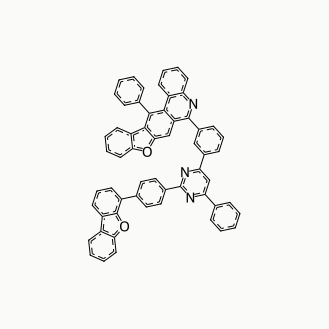 c1ccc(-c2cc(-c3cccc(-c4nc5ccccc5c5c(-c6ccccc6)c6c(cc45)oc4ccccc46)c3)nc(-c3ccc(-c4cccc5c4oc4ccccc45)cc3)n2)cc1